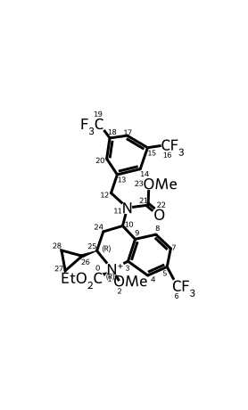 CCOC(=O)[N@+]1(OC)c2cc(C(F)(F)F)ccc2C(N(Cc2cc(C(F)(F)F)cc(C(F)(F)F)c2)C(=O)OC)C[C@@H]1C1CC1